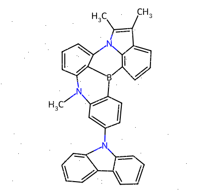 Cc1c(C)n2c3c(cccc13)B1c3ccc(-n4c5ccccc5c5ccccc54)cc3N(C)c3cccc-2c31